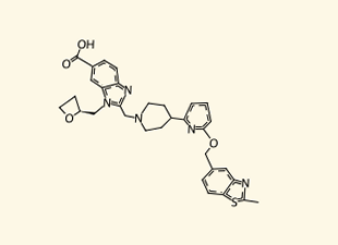 Cc1nc2cc(COc3cccc(C4CCN(Cc5nc6ccc(C(=O)O)cc6n5C[C@@H]5CCO5)CC4)n3)ccc2s1